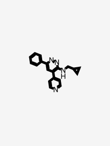 c1ccc(-c2cc(-c3ccncc3)c(NCC3CC3)nn2)cc1